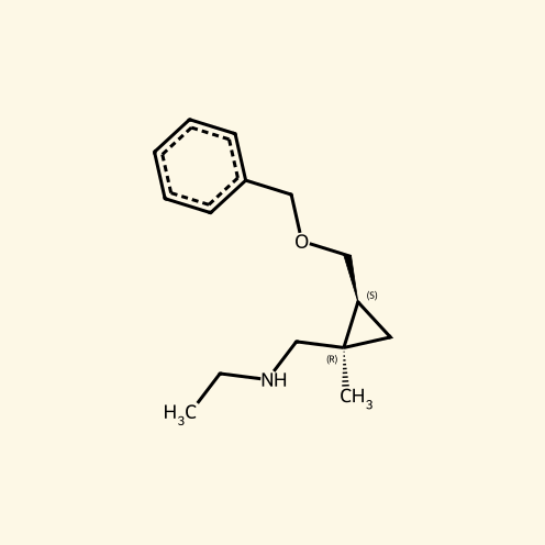 CCNC[C@]1(C)C[C@@H]1COCc1ccccc1